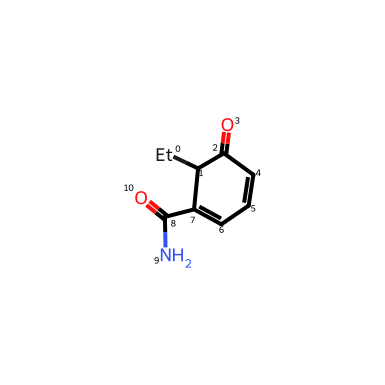 CCC1C(=O)C=CC=C1C(N)=O